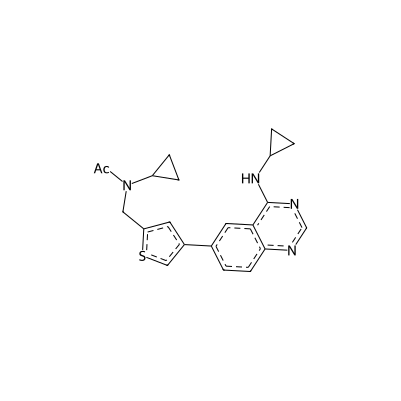 CC(=O)N(Cc1cc(-c2ccc3ncnc(NC4CC4)c3c2)cs1)C1CC1